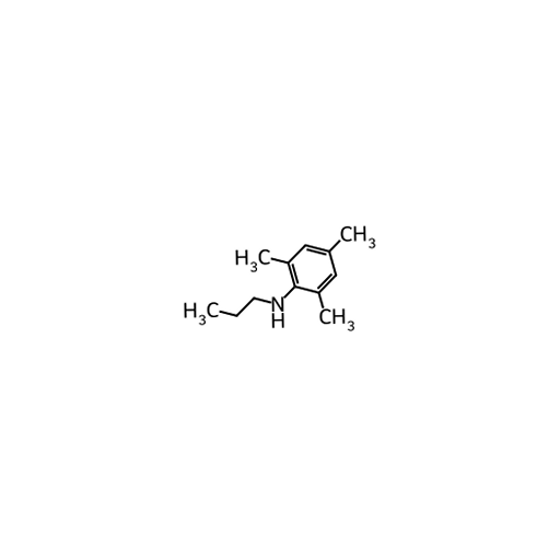 CCCNc1c(C)cc(C)cc1C